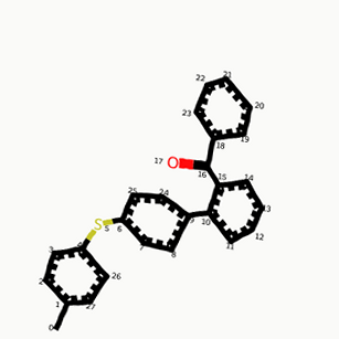 Cc1ccc(Sc2ccc(-c3ccccc3C(=O)c3ccccc3)cc2)cc1